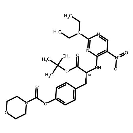 CCN(CC)c1ncc([N+](=O)[O-])c(N[C@@H](Cc2ccc(OC(=O)N3CCOCC3)cc2)C(=O)OC(C)(C)C)n1